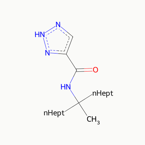 CCCCCCCC(C)(CCCCCCC)NC(=O)c1cn[nH]n1